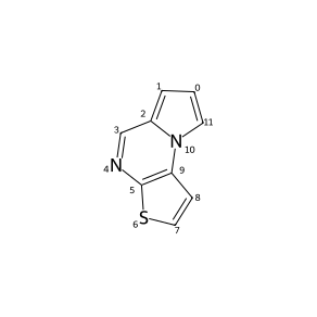 c1cc2cnc3sccc3n2c1